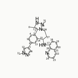 CC1=C2c3ccc(-c4cnn(C)c4)cc3C(Nc3cccc4cccnc34)CCN2N(C)N1